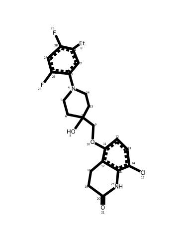 CCc1cc(N2CCC(O)(COc3ccc(Cl)c4c3CCC(=O)N4)CC2)c(F)cc1F